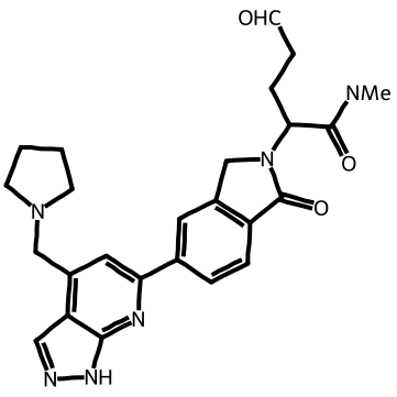 CNC(=O)C(CCC=O)N1Cc2cc(-c3cc(CN4CCCC4)c4cn[nH]c4n3)ccc2C1=O